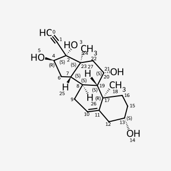 C#C[C@]1(O)[C@H](O)C[C@H]2[C@@H]3CC=C4C[C@@H](O)CC[C@]4(C)[C@H]3[C@@H](O)C[C@@]21C